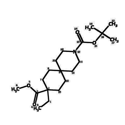 CCC1(C(=O)OC)CCC2(CCN(C(=O)OC(C)(C)C)CC2)CC1